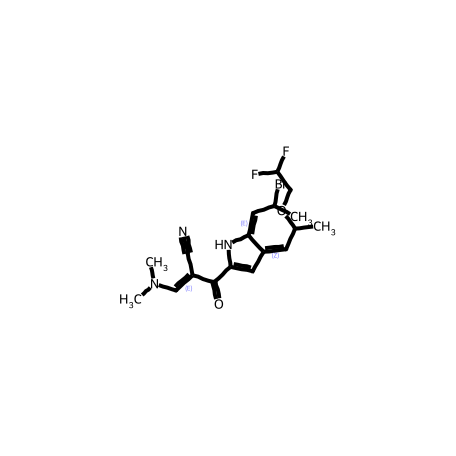 CC(Br)/C=c1/[nH]c(C(=O)/C(C#N)=C/N(C)C)c/c1=C/C(C)OCC(F)F